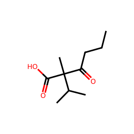 CCCC(=O)C(C)(C(=O)O)C(C)C